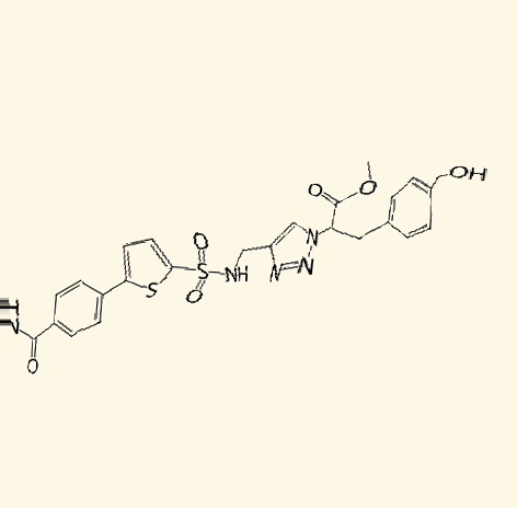 CNC(=O)c1ccc(-c2ccc(S(=O)(=O)NCc3cn(C(Cc4ccc(O)cc4)C(=O)OC)nn3)s2)cc1